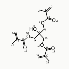 C=C(C)C(=O)OCC(O)(COC(=O)C(=C)C)COC(=O)C(=C)C